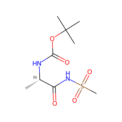 C[C@H](NC(=O)OC(C)(C)C)C(=O)NS(C)(=O)=O